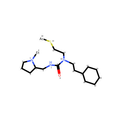 CCN1CCCC1CNC(=O)N(CCSC(C)=O)CCC1CCCCC1